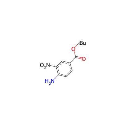 CCC(C)OC(=O)c1ccc(N)c([N+](=O)[O-])c1